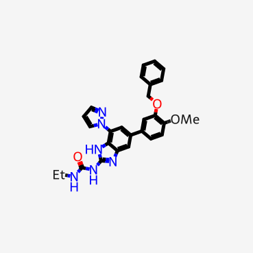 CCNC(=O)Nc1nc2cc(-c3ccc(OC)c(OCc4ccccc4)c3)cc(-n3cccn3)c2[nH]1